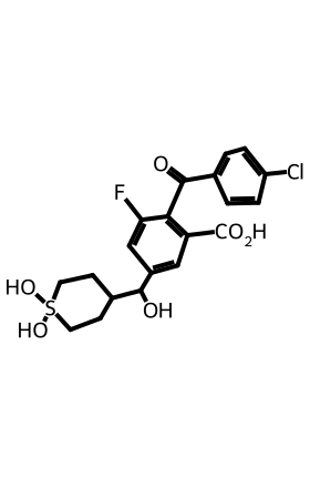 O=C(O)c1cc(C(O)C2CCS(O)(O)CC2)cc(F)c1C(=O)c1ccc(Cl)cc1